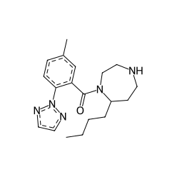 CCCCC1CCNCCN1C(=O)c1cc(C)ccc1-n1nccn1